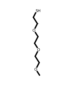 COCCOCCO[CH]CS